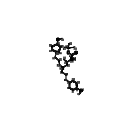 COc1ccc(CCCN(CCCc2ccc(OC)cc2)CC(C)NC(=O)OC(C)(C)C)cc1